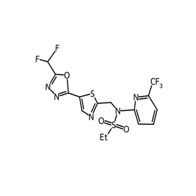 CCS(=O)(=O)N(Cc1ncc(-c2nnc(C(F)F)o2)s1)c1cccc(C(F)(F)F)n1